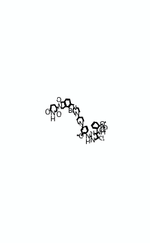 COc1cc(N2CCC(N3CCN(Cc4ccc5c(c4Br)CN(C4CCC(=O)NC4=O)C5=O)CC3)CC2)ccc1Nc1ncc(Cl)c(Nc2ccccc2P(=O)(OC)OC)n1